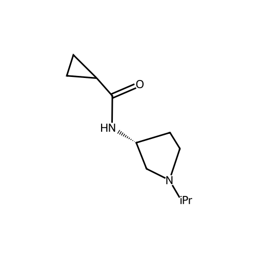 CC(C)N1CC[C@@H](NC(=O)C2CC2)C1